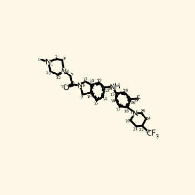 CN1CCN(CC(=O)N2Cc3ccc(Nc4ccc(N5CCC(C(F)(F)F)CC5)c(F)c4)cc3C2)CC1